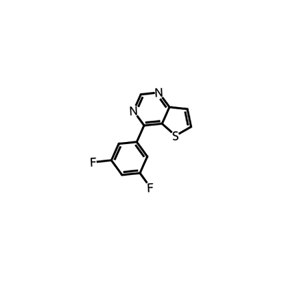 Fc1cc(F)cc(-c2ncnc3ccsc23)c1